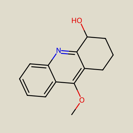 COc1c2c(nc3ccccc13)C(O)CCC2